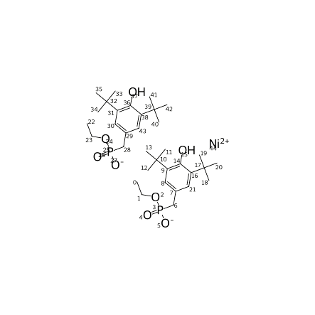 CCOP(=O)([O-])Cc1cc(C(C)(C)C)c(O)c(C(C)(C)C)c1.CCOP(=O)([O-])Cc1cc(C(C)(C)C)c(O)c(C(C)(C)C)c1.[Ni+2]